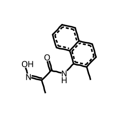 C/C(=N/O)C(=O)Nc1c(C)ccc2ccccc12